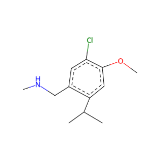 CNCc1cc(Cl)c(OC)cc1C(C)C